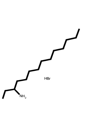 Br.CCCCCCCCCCCC(N)CC